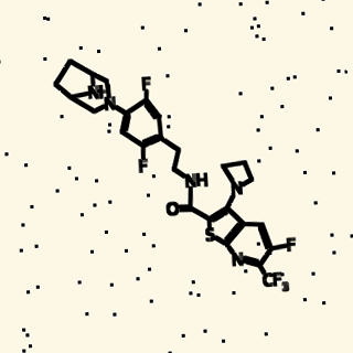 O=C(NCCc1cc(F)c(N2CC3CCC(C2)N3)cc1F)c1sc2nc(C(F)(F)F)c(F)cc2c1N1CCC1